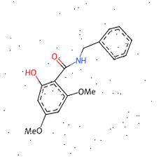 COc1cc(O)c(C(=O)NCc2ccccc2)c(OC)c1